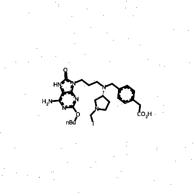 CCCCOc1nc(N)c2[nH]c(=O)n(CCCN(Cc3ccc(CC(=O)O)cc3)[C@@H]3CCN(CI)C3)c2n1